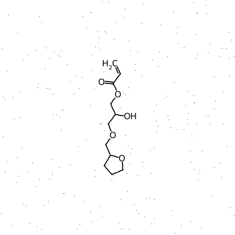 C=CC(=O)OCC(O)COCC1CCCO1